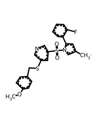 [CH2]c1cc(-c2ccccc2F)n(S(=O)(=O)c2cncc(SCc3ccc(OC)cc3)c2)c1